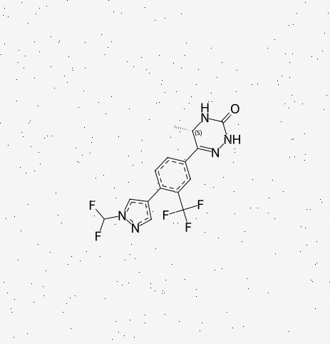 C[C@@H]1NC(=O)NN=C1c1ccc(-c2cnn(C(F)F)c2)c(C(F)(F)F)c1